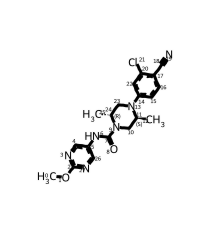 COc1ncc(NC(=O)N2C[C@H](C)N(c3ccc(C#N)c(Cl)c3)C[C@H]2C)cn1